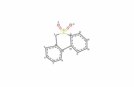 O=S1(=O)Cc2ccccc2-c2ccccc21